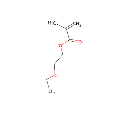 C=C(C)C(=O)OCCOCC(F)(F)F